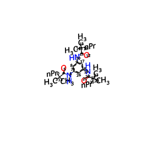 CCCC(C)(C)C(=O)Nc1cc(NC(=O)C(C)(C)CCC)cc(NC(=O)C(C)(C)CCC)c1